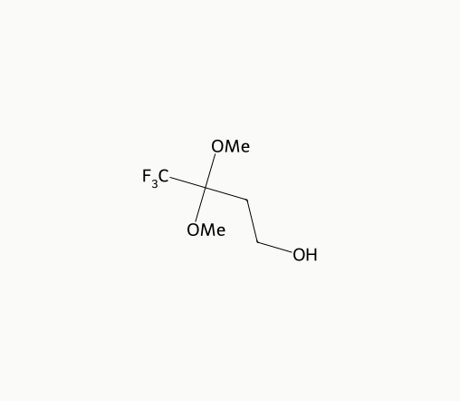 COC(CCO)(OC)C(F)(F)F